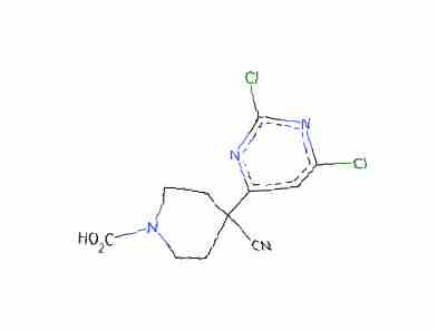 N#CC1(c2cc(Cl)nc(Cl)n2)CCN(C(=O)O)CC1